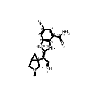 CN1CC2CC2(/C(C=N)=C2\Nc3cc(F)cc(C(N)=O)c3N2)C1